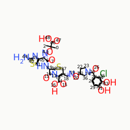 CC(C)(O/N=C(\C(=O)NC1C(=O)N2C(C(=O)O)=C(/C=N/O[C@H]3CCN(C(=O)c4ccc(O)c(O)c4Cl)C3)CSC12)c1csc(N)n1)C(=O)O